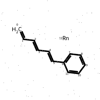 C=CC=CC=Cc1ccccc1.[Rn]